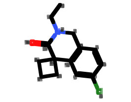 CCN1Cc2ccc(Cl)cc2C2(CCC2)C1=O